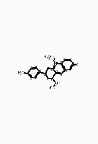 CC(C)OC1CC(c2ccc(C(F)(F)F)cc2)Cc2c1cc1cc(Cl)ccc1[n+]2[O-].O